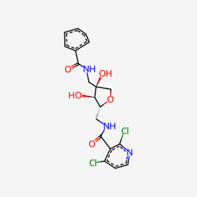 O=C(NC[C@]1(O)CO[C@H](CNC(=O)c2c(Cl)ccnc2Cl)[C@H]1O)c1ccccc1